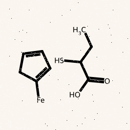 CCC(S)C(=O)O.[Fe][C]1=CC=CC1